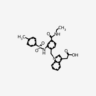 CCNC(=O)c1ccc(Cn2cc(CC(=O)O)c3ccccc32)c(NS(=O)(=O)c2ccc(C)cc2)c1